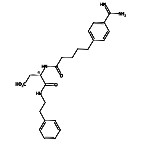 N=C(N)c1ccc(CCCCC(=O)N[C@@H](CC(=O)O)C(=O)NCCc2ccccc2)cc1